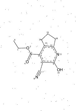 CCOC(=O)c1c(C#N)c(O)nc2c1CCC2